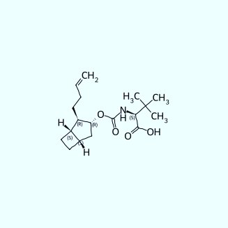 C=CCC[C@@H]1[C@H]2CC[C@H]2C[C@H]1OC(=O)N[C@H](C(=O)O)C(C)(C)C